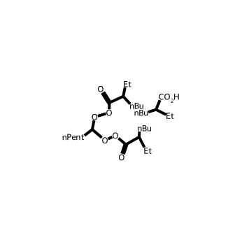 CCCCC(CC)C(=O)O.CCCCCC(OOC(=O)C(CC)CCCC)OOC(=O)C(CC)CCCC